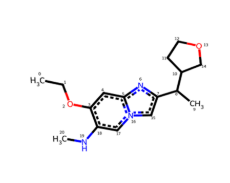 CCOc1cc2nc(C(C)C3CCOC3)cn2cc1NC